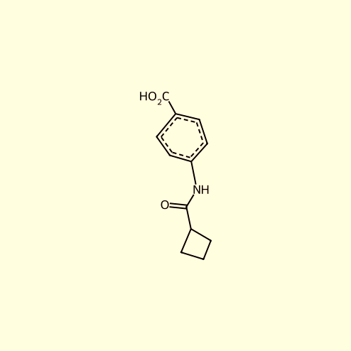 O=C(O)c1ccc(NC(=O)C2CCC2)cc1